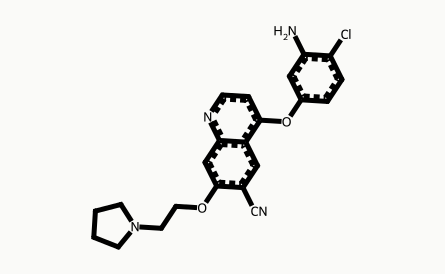 N#Cc1cc2c(Oc3ccc(Cl)c(N)c3)ccnc2cc1OCCN1CCCC1